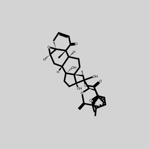 C=C1O[C@@H]([C@](C)(O)[C@]2(O)CC[C@@]3(O)[C@@H]4C[C@H]5O[C@]56CC=CC(=O)[C@]6(C)[C@H]4CC[C@]23COC(=O)c2ccc(C)o2)CC(C)=C1C